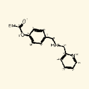 CCC(=O)Oc1ccc(CNCc2ccccn2)cc1